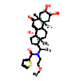 COCCN(C(=O)c1cccs1)C(C)C1CC[C@@]2(O)C3=CC(=O)[C@@H]4C[C@@H](O)[C@@H](O)C[C@]4(C)C3CC[C@]12C